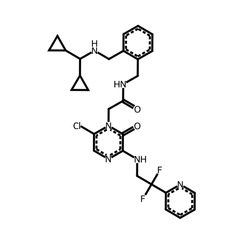 O=C(Cn1c(Cl)cnc(NCC(F)(F)c2ccccn2)c1=O)NCc1ccccc1CNC(C1CC1)C1CC1